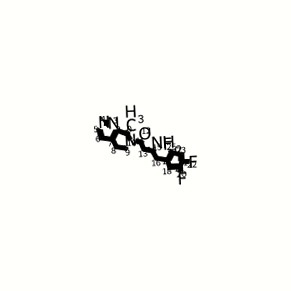 CC1c2nnccc2CCN1C(=O)C[C@H](N)Cc1cc(F)c(F)cc1F